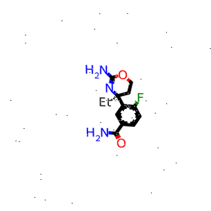 CC[C@@]1(c2cc(C(N)=O)ccc2F)CCOC(N)=N1